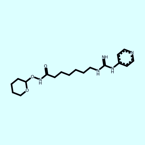 N=C(NCCCCCCC(=O)NOC1CCCCO1)Nc1ccncc1